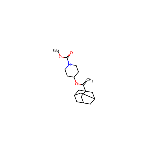 C=C(OC1CCN(C(=O)OC(C)(C)C)CC1)C12CC3CC(CC(C3)C1)C2